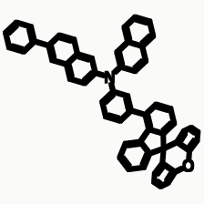 c1ccc(-c2ccc3cc(N(c4cccc(-c5cccc6c5-c5ccccc5C65c6ccccc6Oc6ccccc65)c4)c4ccc5ccccc5c4)ccc3c2)cc1